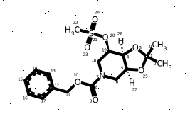 CC1(C)O[C@H]2[C@H](CN(C(=O)OCc3ccccc3)C[C@H]2OS(C)(=O)=O)O1